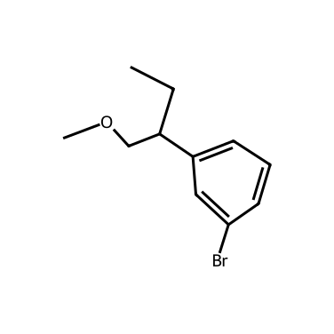 CCC(COC)c1cccc(Br)c1